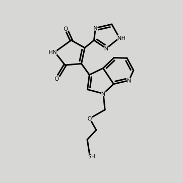 O=C1NC(=O)C(c2cn(COCCS)c3ncccc23)=C1c1nc[nH]n1